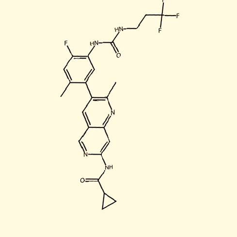 Cc1cc(F)c(NC(=O)NCCC(F)(F)F)cc1-c1cc2cnc(NC(=O)C3CC3)cc2nc1C